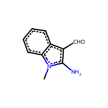 Cn1c(N)c(C=O)c2ccccc21